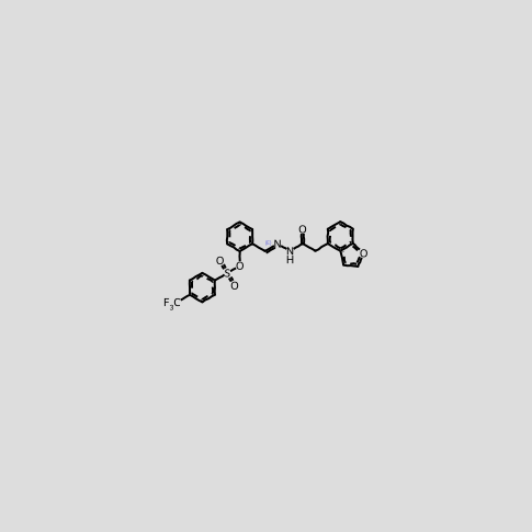 O=C(Cc1cccc2occc12)N/N=C/c1ccccc1OS(=O)(=O)c1ccc(C(F)(F)F)cc1